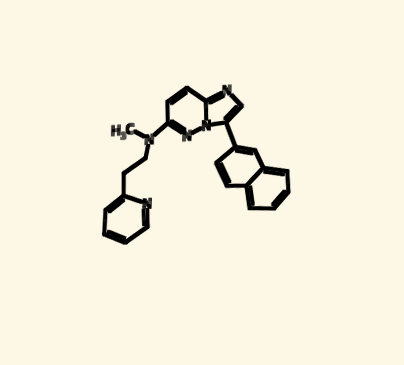 CN(CCc1ccccn1)c1ccc2ncc(-c3ccc4ccccc4c3)n2n1